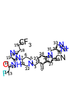 Cc1c(CN2CCC(n3c(NC(=O)CF)cnc3CCC(F)(F)F)CC2)ccc2c1cc(C#N)n2Cc1cn[nH]c1